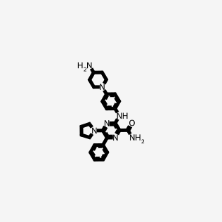 NC(=O)c1nc(-c2ccccc2)c(N2CCCC2)nc1Nc1ccc(N2CCC(N)CC2)cc1